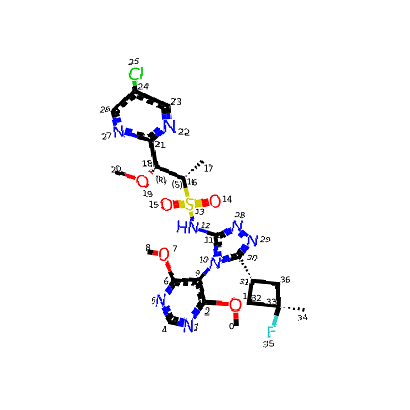 COc1ncnc(OC)c1-n1c(NS(=O)(=O)[C@@H](C)[C@H](OC)c2ncc(Cl)cn2)nnc1[C@H]1C[C@](C)(F)C1